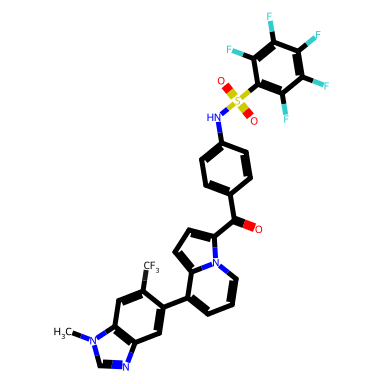 Cn1cnc2cc(-c3cccn4c(C(=O)c5ccc(NS(=O)(=O)c6c(F)c(F)c(F)c(F)c6F)cc5)ccc34)c(C(F)(F)F)cc21